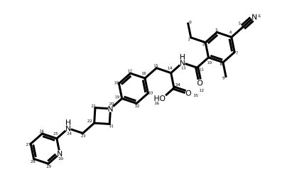 CCc1cc(C#N)cc(C)c1C(=O)NC(Cc1ccc(N2CC(CNc3ccccn3)C2)cc1)C(=O)O